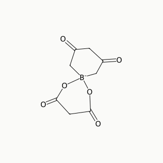 O=C1CC(=O)C[B-]2(C1)OC(=O)CC(=O)O2